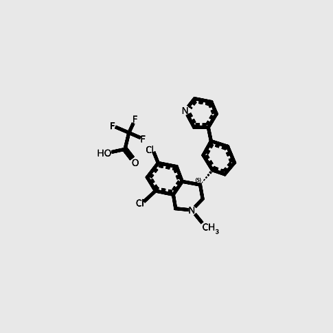 CN1Cc2c(Cl)cc(Cl)cc2[C@H](c2cccc(-c3cccnc3)c2)C1.O=C(O)C(F)(F)F